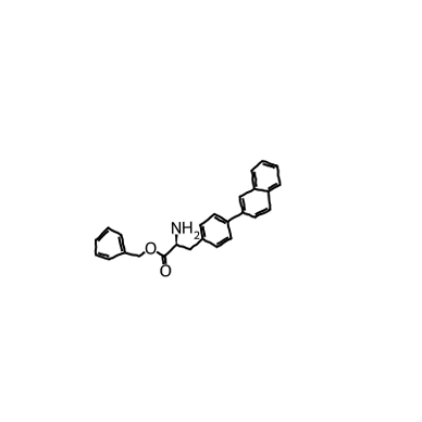 N[C@@H](Cc1ccc(-c2ccc3ccccc3c2)cc1)C(=O)OCc1ccccc1